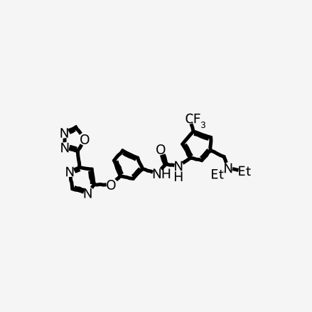 CCN(CC)Cc1cc(NC(=O)Nc2cccc(Oc3cc(-c4nnco4)ncn3)c2)cc(C(F)(F)F)c1